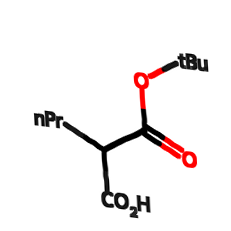 CCCC(C(=O)O)C(=O)OC(C)(C)C